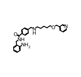 Nc1ccccc1CNC(=O)c1ccc(CNCCCCCOCc2cccnc2)cc1